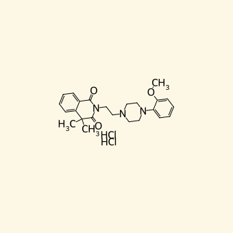 COc1ccccc1N1CCN(CCN2C(=O)c3ccccc3C(C)(C)C2=O)CC1.Cl.Cl